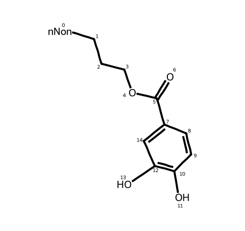 CCCCCCCCCCCCOC(=O)c1ccc(O)c(O)c1